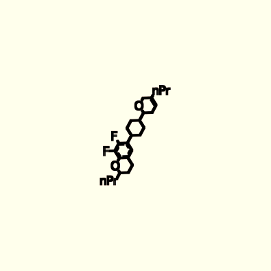 CCCC1=CCC(C2CCC(c3cc4c(c(F)c3F)OC(CCC)CC4)CC2)OC1